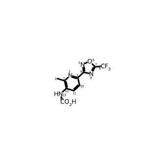 Cc1nc(-c2noc(C(F)(F)F)n2)ccc1NC(=O)O